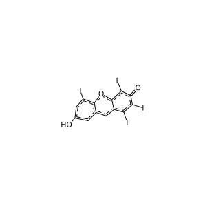 O=c1c(I)c2oc3c(I)cc(O)cc3cc-2c(I)c1I